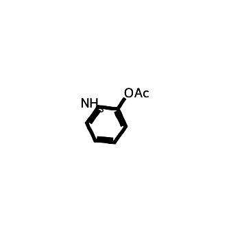 CC(=O)Oc1ccccc1.N